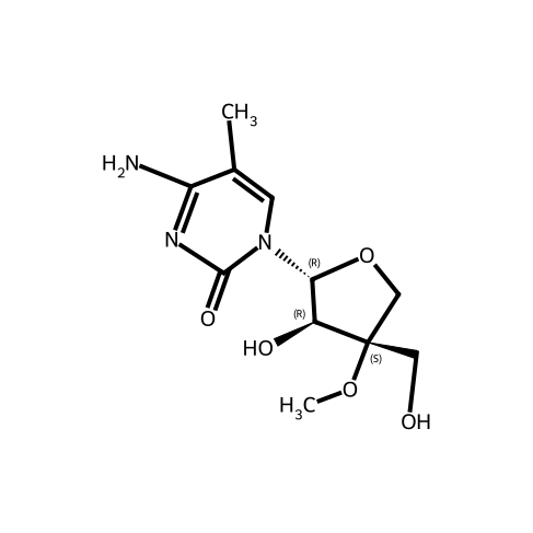 CO[C@@]1(CO)CO[C@@H](n2cc(C)c(N)nc2=O)[C@@H]1O